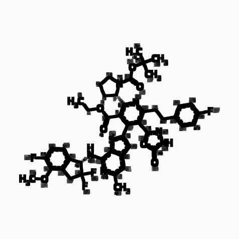 CCOC(=O)c1c([C@@H]2CCCN2C(=O)OC(C)(C)C)nc(CCc2ccc(F)cc2)c(-c2n[nH]c(=O)o2)c1-c1cc2cc(C)nc(N[C@H]3c4ccc(F)c(OC)c4CC3(F)F)c2s1